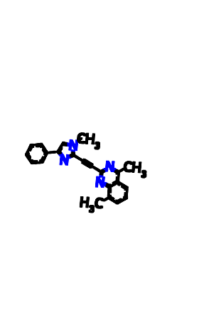 Cc1nc(C#Cc2nc(-c3ccccc3)cn2C)nc2c(C)cccc12